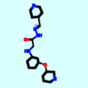 O=C(CNc1cccc(Oc2cccnc2)c1)N/N=C/c1ccncc1